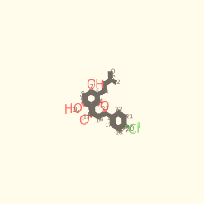 CC(C)=CCc1c(O)cc(O)c2c(=O)cc(-c3ccc(Cl)cc3)oc12